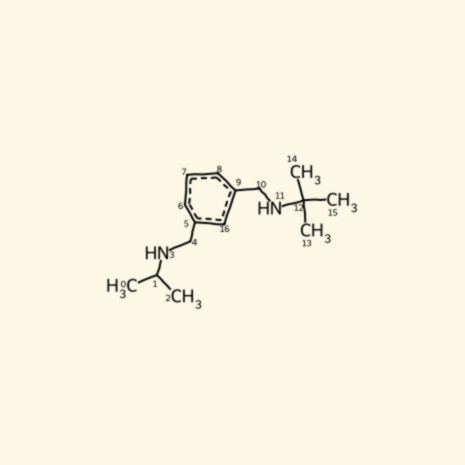 CC(C)NCc1cccc(CNC(C)(C)C)c1